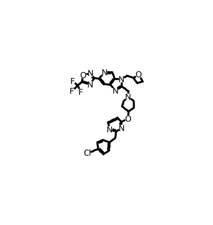 FC(F)(F)c1nc(-c2cc3nc(CN4CCC(Oc5ccnc(Cc6ccc(Cl)cc6)n5)CC4)n(CC4CCO4)c3cn2)no1